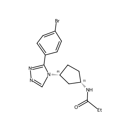 CCC(=O)N[C@H]1CC[C@@H](n2cnnc2-c2ccc(Br)cc2)C1